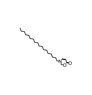 CCCCCCCCCCCCCCCCCCN1C=CC(=O)OC1